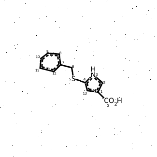 O=C(O)c1c[nH]c(SCc2ccccc2)c1